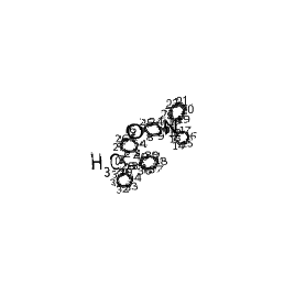 CC(c1ccc(Oc2ccc(N(c3ccccc3)c3ccccc3)cc2)cc1)C(c1ccccc1)c1ccccc1